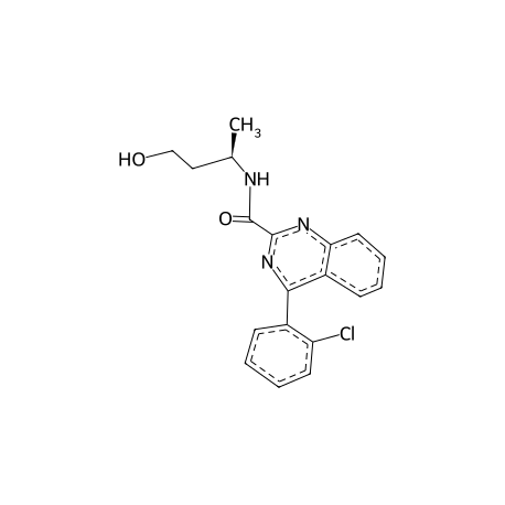 C[C@H](CCO)NC(=O)c1nc(-c2ccccc2Cl)c2ccccc2n1